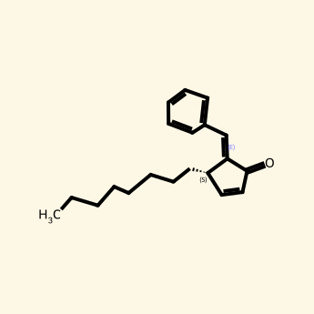 CCCCCCCC[C@H]1C=CC(=O)/C1=C/c1ccccc1